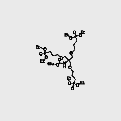 CCOP(=O)(CCCOCC(COCCCP(=O)(OCC)OCC)(COCCCP(=O)(OCC)OCC)NC(=O)OC(C)(C)C)OCC